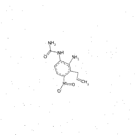 C=CCc1c([N+](=O)[O-])ccc(NC(N)=O)c1N